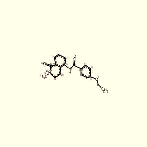 CCOc1ccc(C(=O)Nc2cccc3c(=O)n(C)ccc23)cc1